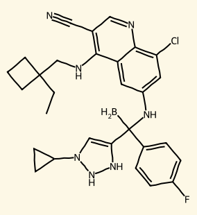 BC(Nc1cc(Cl)c2ncc(C#N)c(NCC3(CC)CCC3)c2c1)(C1=CN(C2CC2)NN1)c1ccc(F)cc1